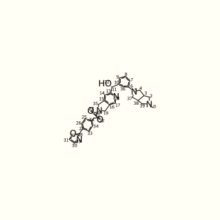 CN1CC2CN(c3cccc(C(O)c4cc5c(cn4)CN(S(=O)(=O)c4ccc(-c6ncco6)cc4)C5)c3)CC2C1